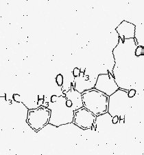 Cc1ccc(Cc2cnc3c(O)c4c(c(N(C)S(C)(=O)=O)c3c2)CN(CCN2CCCC2=O)C4=O)cc1